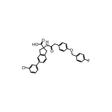 O=C(Cc1ccc(OCc2ccc(F)cc2)cc1)NC1(C(=O)O)Cc2ccc(-c3cccc(Cl)c3)cc2C1